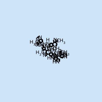 COc1cc2c(cc1Nc1nc(Nc3ccc4nccnc4c3P(C)(C)=O)c3cc[nH]c3n1)-c1cnn(C)c1C(c1csc3c(Nc4ccc5nccnc5c4P(C)(C)=O)nc(Nc4cc5c(cc4OC)N(C)CCc4c-5cnn4C)nc13)CN2C